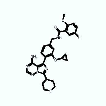 COc1ccc(F)cc1C(=O)NCc1ccc(-c2nc(C3CCOCC3)n3ncnc(N)c23)c(OC2CC2)c1